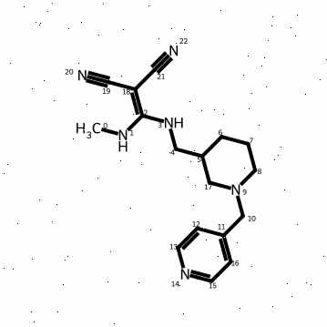 CNC(NCC1CCCN(Cc2ccncc2)C1)=C(C#N)C#N